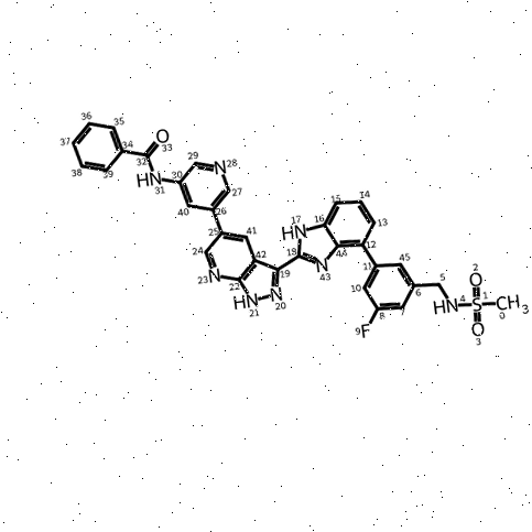 CS(=O)(=O)NCc1cc(F)cc(-c2cccc3[nH]c(-c4n[nH]c5ncc(-c6cncc(NC(=O)c7ccccc7)c6)cc45)nc23)c1